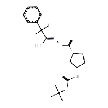 CC(C)(C)OC(=O)N[C@H]1CC[C@H](C(=O)O/N=C(\N)C(F)(F)c2ccccc2)C1